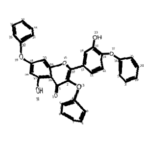 O=c1c(Oc2ccccc2)c(-c2ccc(Oc3ccccc3)c(O)c2)oc2cc(Oc3ccccc3)cc(O)c12